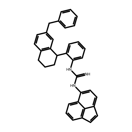 N=C(Nc1ccccc1C1CCCc2ccc(Cc3ccccc3)cc21)Nc1ccc2c3c(cccc13)C=C2